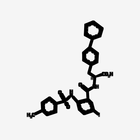 Cc1ccc(S(=O)(=O)Nc2ccc(I)cc2C(=O)N[C@@H](Cc2ccc(-c3ccccc3)cc2)C(=O)O)cc1